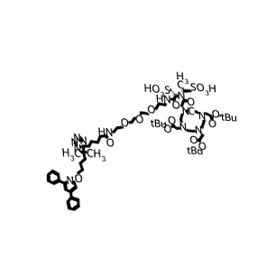 C[C@H](CS(=O)(=O)O)N(C(=O)CN1CCN(CC(=O)OC(C)(C)C)CCN(CC(=O)OC(C)(C)C)CCN(CC(=O)OC(C)(C)C)CC1)[C@@H](CS(=O)(=O)O)C(=O)NCCCOCCOCCOCCCNC(=O)CCCCC1(C(C)(C)CCCCOc2cc(-c3ccccc3)cc(-c3ccccc3)n2)N=NN=N1